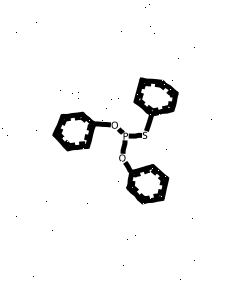 c1ccc(OP(Oc2ccccc2)Sc2ccccc2)cc1